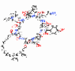 C[C@@H]1CCCCCCCCC(=O)N[C@H]2C[C@@H](O)[C@@H](OC[C@H]3CC[N+]3(C)C)NC(=O)[C@@H]3[C@@H](O)[C@@H](C)CN3C(=O)[C@H]([C@H](O)CCN)NC(=O)[C@H]([C@H](O)[C@@H](O)c3ccc(O)cc3)NC(=O)[C@@H]3C[C@@H](O)CN3C(=O)[C@@H](NC2=O)[C@@H](C)OC[C@H](C)C1